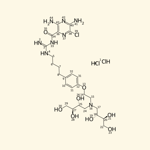 Cl.Cl.N=C(NCCCCc1ccc(OCCN(C[C@@H](O)[C@@H](O)CO)C[C@@H](O)[C@@H](O)CO)cc1)NC(=O)c1nc(Cl)c(N)nc1N